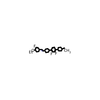 C=CC1CCC(c2ccc(C3CCC(/C=C/C4C=C(F)C(OCC)CC4)CC3)c(F)c2F)CC1